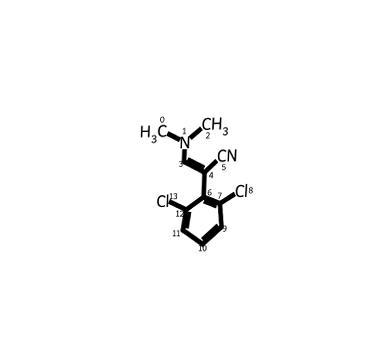 CN(C)C=C(C#N)c1c(Cl)cccc1Cl